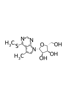 CSc1ncnc2c1c(C)cn2[C@@H]1O[C@H](CO)[C@@H](O)[C@H]1O